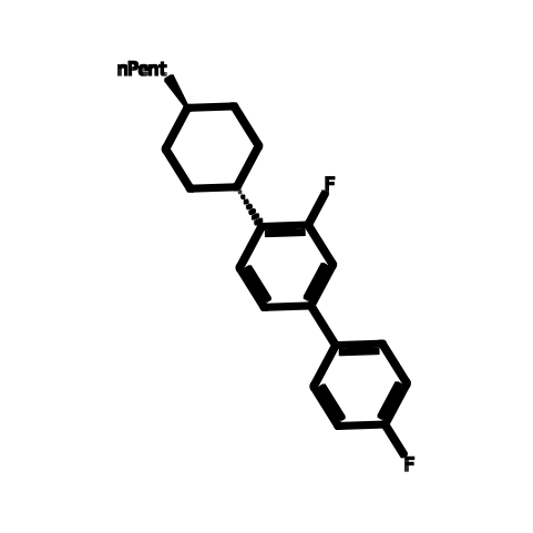 CCCCC[C@H]1CC[C@H](c2ccc(-c3ccc(F)cc3)cc2F)CC1